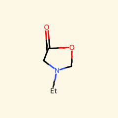 CCN1COC(=O)C1